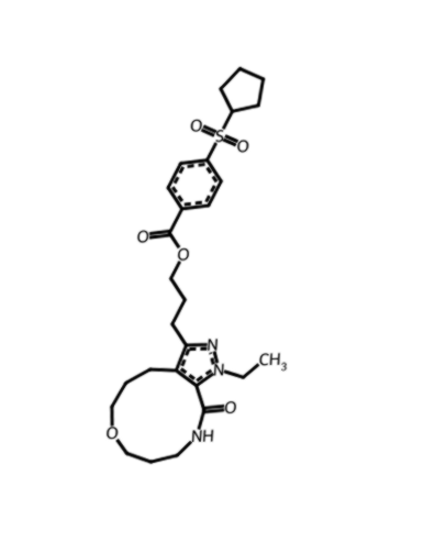 CCn1nc(CCCOC(=O)c2ccc(S(=O)(=O)C3CCCC3)cc2)c2c1C(=O)NCCCOCCC2